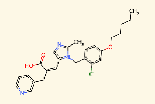 CCCCCOc1ccc(Cn2c(C=C(Cc3cccnc3)C(=O)O)cnc2C)c(Cl)c1